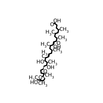 C[C@H](CCC(=O)O)C[C@H](C)C[C@H](C)C(=O)/C=C(\O)[C@H](C)C[C@H](C)C/C=C/[C@@H](C)[C@@H](O)[C@@H](C)[C@@H](O)C[C@@H]1CC[C@@](C)([C@H]2CC[C@@](C)([C@@H](C)O)O2)O1